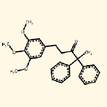 COc1cc(CCC(=O)C(C)(c2ccccc2)c2ccccc2)cc(OC)c1OC